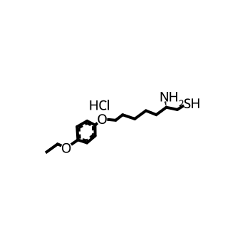 CCOc1ccc(OCCCCC[C@H](N)CS)cc1.Cl